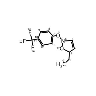 CCC1C=CN(Oc2ccc(C(F)(F)F)cc2)O1